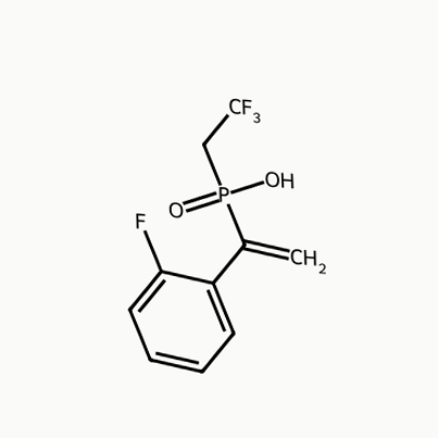 C=C(c1ccccc1F)P(=O)(O)CC(F)(F)F